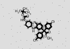 COC(=O)C(c1ccc(Cl)cc1)(c1ccc(Cl)cc1)c1ccc(N)c(N[C@H]2CC[C@@H](NC(=O)OC(C)(C)C)CC2)c1